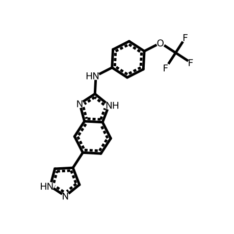 FC(F)(F)Oc1ccc(Nc2nc3cc(-c4cn[nH]c4)ccc3[nH]2)cc1